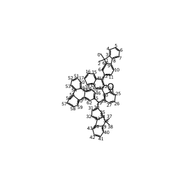 CC1(C)c2ccccc2-c2ccc(-c3c4ccccc4cc4c3oc3cccc(C(c5ccc6c(c5)C(C)(C)c5ccccc5-6)c5ccc6c7ccccc7c7ccccc7c6c5)c34)cc21